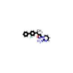 CC(c1ccc(-c2ccccc2)c(F)c1)c1cc(N2CCCCN=C2N)no1